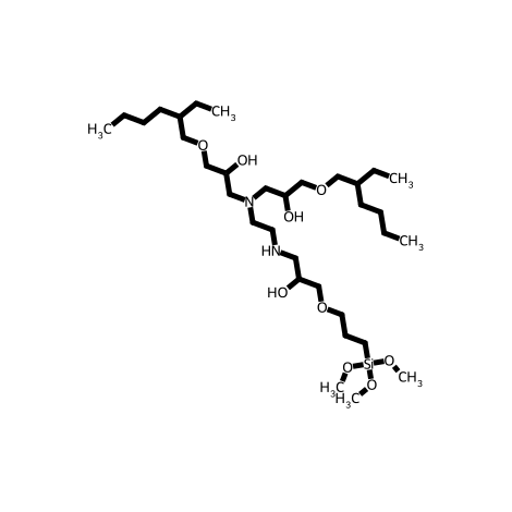 CCCCC(CC)COCC(O)CN(CCNCC(O)COCCC[Si](OC)(OC)OC)CC(O)COCC(CC)CCCC